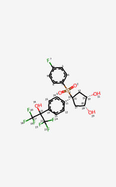 O=S(=O)(c1ccc(F)cc1)[C@]1(c2ccc(C(O)(C(F)(F)F)C(F)(F)F)cc2)C[C@@H](O)[C@@H](O)C1